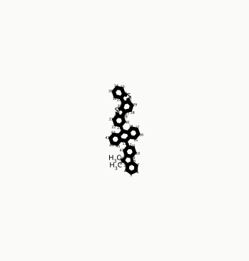 CC1(C)c2ccccc2-c2ccc(-c3c4ccccc4c(-c4ccc5sc6c(ccc7sc8ccccc8c76)c5c4)c4ccccc34)cc21